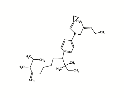 C=C(CCCCC(c1ccc(N(C=C2CC2)C/C(C)=C\CC)cc1)C(C)(C)CC)[C@H](C)C(C)C